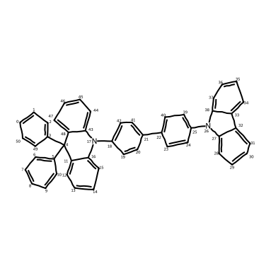 c1ccc(C2(c3ccccc3)c3ccccc3N(c3ccc(-c4ccc(-n5c6ccccc6c6ccccc65)cc4)cc3)c3ccccc32)cc1